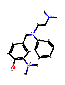 CN(C)CCN(Cc1ccc(O)c(N(C)C)c1)c1ccccc1